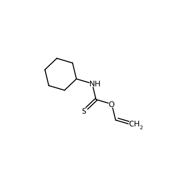 C=COC(=S)NC1CCCCC1